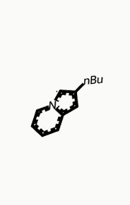 CCCCc1[c]n2ccccc2c1